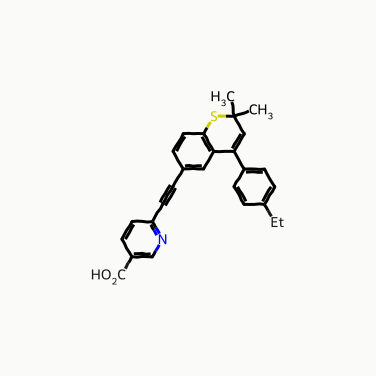 CCc1ccc(C2=CC(C)(C)Sc3ccc(C#Cc4ccc(C(=O)O)cn4)cc32)cc1